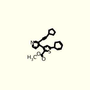 COC(=O)c1sc(C2C=CC=CC2)cc1-c1ccncc1C#CC1CCCC1